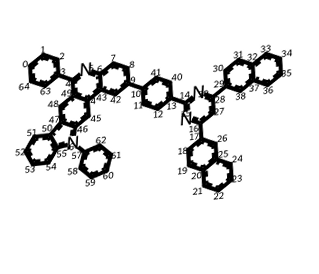 c1ccc(-c2nc3ccc(-c4ccc(-c5nc(-c6ccc7ccccc7c6)cc(-c6ccc7ccccc7c6)n5)cc4)cc3c3cc4c(cc23)c2ccccc2n4-c2ccccc2)cc1